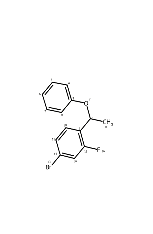 CC(Oc1ccccc1)c1ccc(Br)cc1F